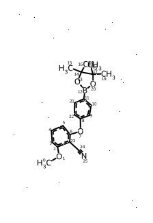 COc1cccc(Oc2ccc(B3OC(C)(C)C(C)(C)O3)cc2)c1C#N